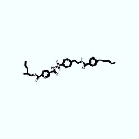 CCCCOc1ccc(C(=O)NCCc2ccc(S(=O)(=O)NC(=O)c3ccc(C(=O)OCC(C)CCC)nc3)cc2)cc1